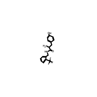 NC(Cc1ccc(O)cc1)C(=O)NCc1ccccc1C(F)(F)F